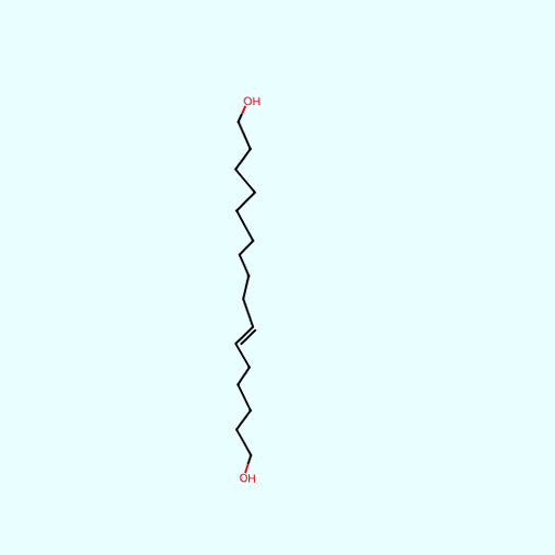 OCCCCCC=CCCCCCCCCCO